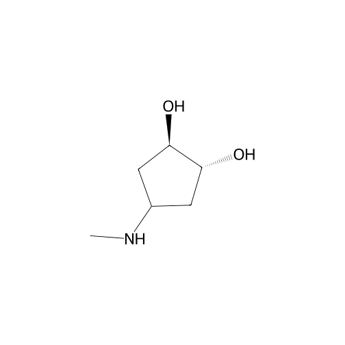 CNC1C[C@@H](O)[C@H](O)C1